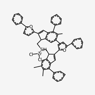 Cc1cc2c(c(-c3ccccc3)c1C)C=C(c1ccc(-c3ccccc3)o1)C2C[SiH](CC1C(c2ccc(-c3ccccc3)o2)=Cc2c1cc(C)c(C)c2-c1ccccc1)[Zr]([Cl])[Cl]